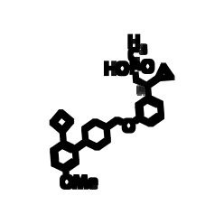 COc1ccc(C2CCC2)c(C2CCC(COc3cccc([C@@H](CP(C)(=O)O)C4CC4)c3)CC2)c1